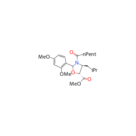 CCCCCC(=O)N1C(c2ccc(OC)cc2OC)O[C@@H](C(=O)OC)[C@@H]1CC(C)C